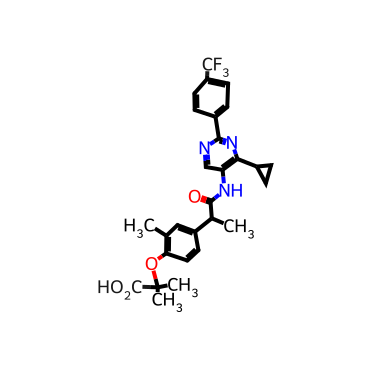 Cc1cc(C(C)C(=O)Nc2cnc(-c3ccc(C(F)(F)F)cc3)nc2C2CC2)ccc1OC(C)(C)C(=O)O